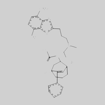 COc1ccc(OC)c2[nH]c(CCCN(C)CC[C@@]3(OC(=O)C(C)C)C[C@@H]4CCC[C@H]3C=C4c3ccccc3)nc12